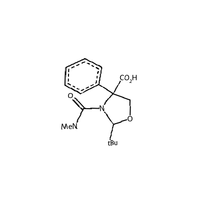 CNC(=O)N1C(C(C)(C)C)OCC1(C(=O)O)c1ccccc1